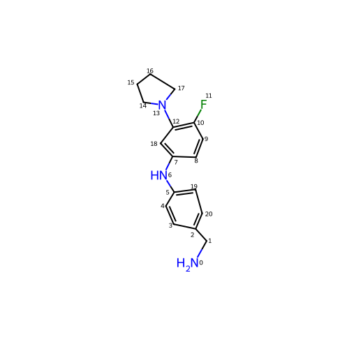 NCc1ccc(Nc2ccc(F)c(N3CCCC3)c2)cc1